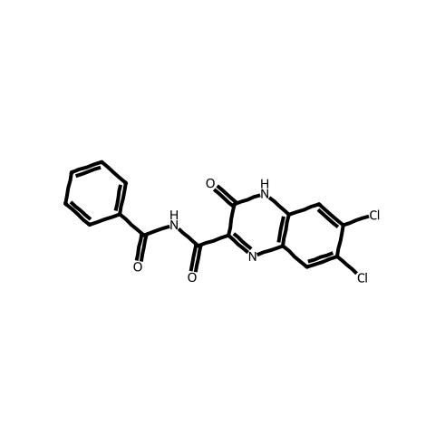 O=C(NC(=O)c1nc2cc(Cl)c(Cl)cc2[nH]c1=O)c1ccccc1